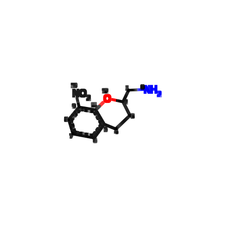 NCC1CCc2cccc([N+](=O)[O-])c2O1